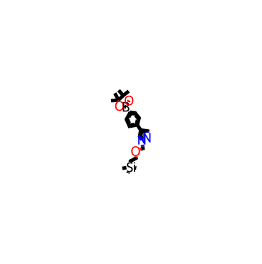 CC1(C)OB(c2ccc(-c3cnn(COCC[Si](C)(C)C)c3)cc2)OC1(C)C